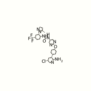 Cc1ccnn1-c1cc(C(F)(F)F)ccc1NC(=O)Nc1cnc(Oc2ccc(-c3cc(Cl)cnc3N)cc2)nc1